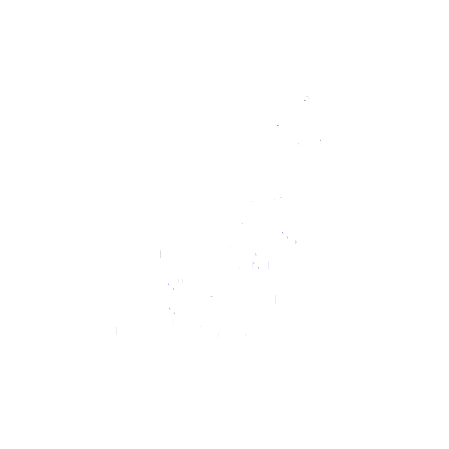 Cc1cc(C)n(C(=O)c2ccc(Cl)c(C(=O)Nc3ncc(C#Cc4ccccc4)cc3C)c2)n1